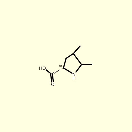 CC1C[C@@H](C(=O)O)NC1C